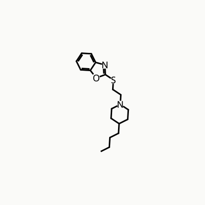 CCCCC1CCN(CCSc2nc3ccccc3o2)CC1